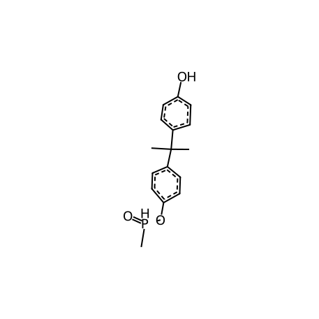 C[PH](=O)Oc1ccc(C(C)(C)c2ccc(O)cc2)cc1